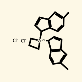 Cc1ccc2c(c1)C=C[CH]2[Zr+2]1([CH]2C=Cc3cc(C)ccc32)[CH2]C[CH2]1.[Cl-].[Cl-]